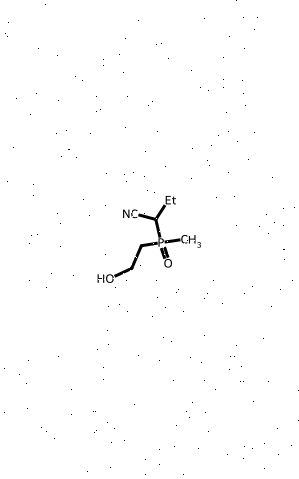 CCC(C#N)P(C)(=O)CCO